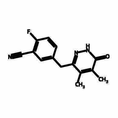 Cc1c(Cc2ccc(F)c(C#N)c2)n[nH]c(=O)c1C